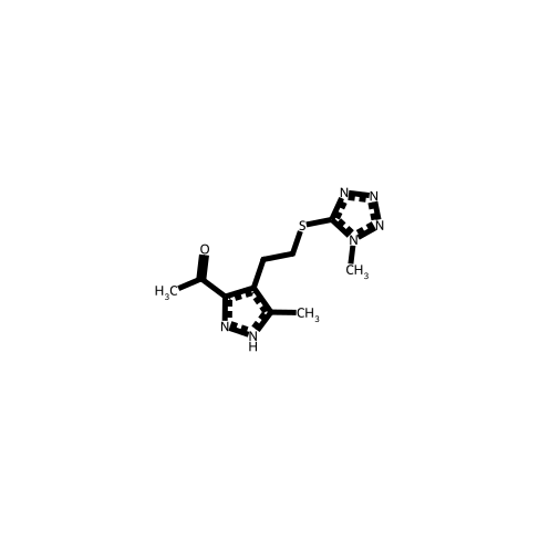 CC(=O)c1n[nH]c(C)c1CCSc1nnnn1C